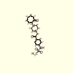 CS(=O)(=O)Nc1ccc(C(=O)CN2CCN(c3cccccc3=O)CC2)cc1